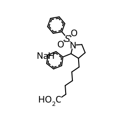 O=C(O)CCCCCC1CCN(S(=O)(=O)c2ccccc2)C1c1ccccc1.[NaH]